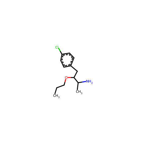 CCCOC(Cc1ccc(Cl)cc1)C(C)N